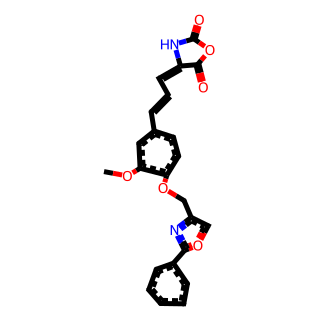 COc1cc(C=CC=C2NC(=O)OC2=O)ccc1OCc1coc(-c2ccccc2)n1